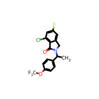 CC(c1ccc(OC(F)(F)F)cc1)N1Cc2cc(F)cc(Cl)c2C1=O